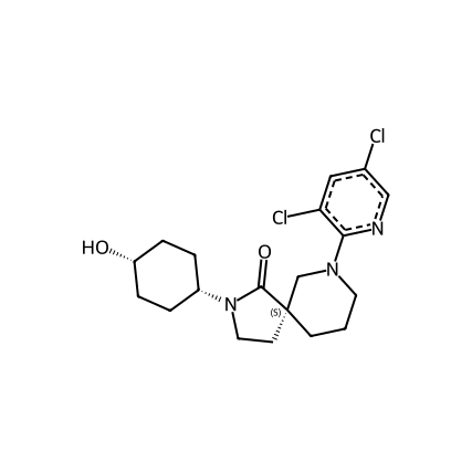 O=C1N([C@H]2CC[C@@H](O)CC2)CC[C@]12CCCN(c1ncc(Cl)cc1Cl)C2